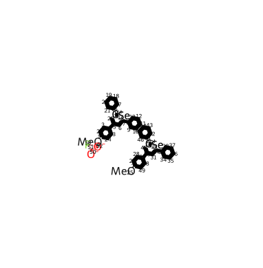 COc1ccc(-c2cc(-c3ccccc3)[se][c+](-c3ccccc3)c2)cc1.COc1ccc(-c2cc(-c3ccccc3)[se][c+](-c3ccccc3)c2)cc1.[O-]B([O-])F